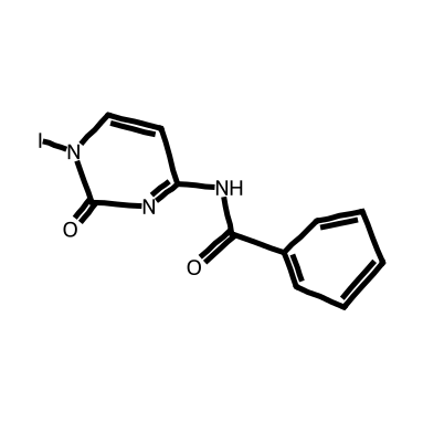 O=C(Nc1ccn(I)c(=O)n1)c1ccccc1